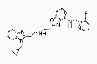 Fc1cccnc1CNc1nccc2oc(CCNCCc3nc4ccccc4n3CC3CC3)nc12